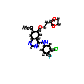 COc1cc2ncnc(Nc3ccc(F)c(Cl)c3)c2cc1OCCC1OCCO1